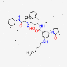 CCCCCNc1cc(C(=O)N[C@@H](Cc2ccccc2)[C@H](O)CN[C@@H](C)C(=O)NC2CCCCC2)cc(N2CCCC2=O)c1